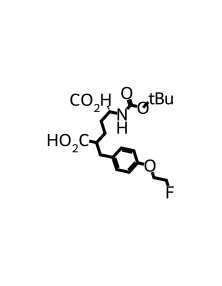 CC(C)(C)OC(=O)N[C@H](CCC(Cc1ccc(OCCF)cc1)C(=O)O)C(=O)O